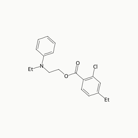 CCc1ccc(C(=O)OCCN(CC)c2ccccc2)c(Cl)c1